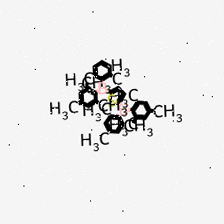 Cc1cc(C)c(B(c2ccc(B(c3c(C)cc(C)cc3C)c3c(C)cc(C)cc3C)s2)c2c(C)cccc2C)c(C)c1